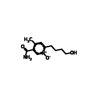 Cc1cc(CCCCO)[n+]([O-])cc1C(N)=O